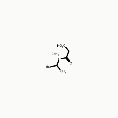 CC(OC(=O)CC(=O)O)C(C)(C)C.[CaH2]